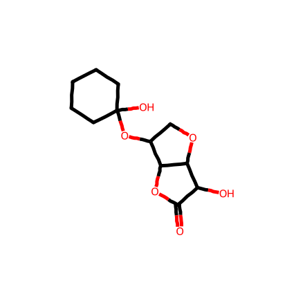 O=C1OC2C(OC3(O)CCCCC3)COC2C1O